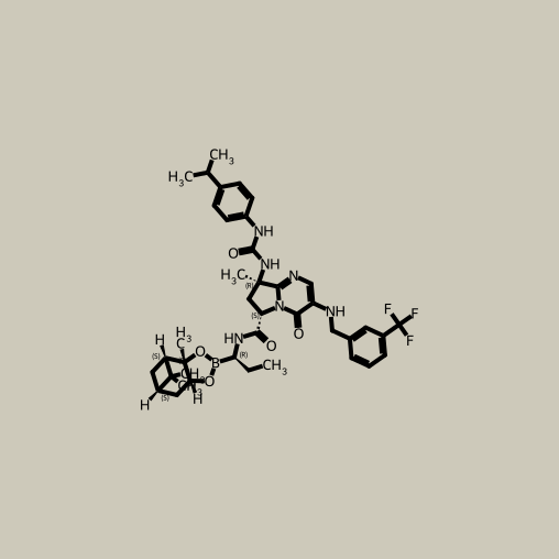 CC[C@H](NC(=O)[C@@H]1C[C@@](C)(NC(=O)Nc2ccc(C(C)C)cc2)c2ncc(NCc3cccc(C(F)(F)F)c3)c(=O)n21)B1O[C@@H]2C[C@@H]3C[C@@H](C3(C)C)[C@]2(C)O1